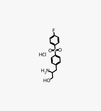 Cl.NC(CO)Cc1ccc(S(=O)(=O)c2ccc(F)cc2)cc1